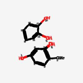 COc1ccc(O)cc1O.Oc1ccccc1O